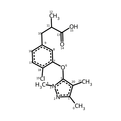 Cc1nn(C)c(Oc2cc(CC(C)C(=O)O)ccc2Cl)c1C